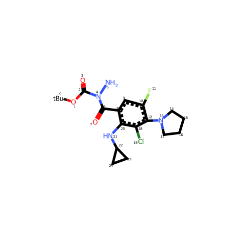 CC(C)(C)OC(=O)N(N)C(=O)c1cc(F)c(N2CCCC2)c(Cl)c1NC1CC1